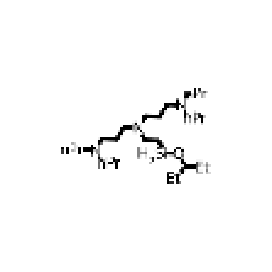 CCCN(CCC)CCCN(CCCN(CCC)CCC)CC[SiH2]OC(CC)CC